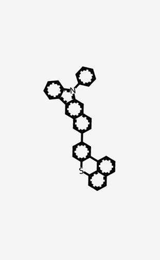 c1ccc(-n2c3ccccc3c3cc4cc(-c5ccc6c(c5)-c5cccc7cccc(c57)S6)ccc4cc32)cc1